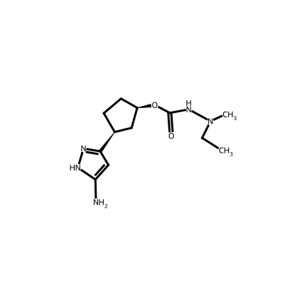 CCN(C)NC(=O)O[C@@H]1CC[C@H](c2cc(N)[nH]n2)C1